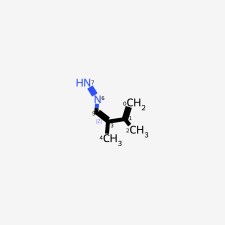 C=C(C)/C(C)=C\N=N